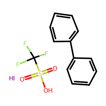 I.O=S(=O)(O)C(F)(F)F.c1ccc(-c2ccccc2)cc1